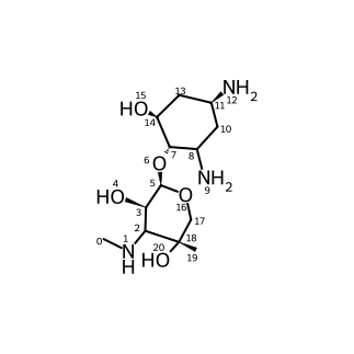 CNC1[C@@H](O)[C@@H](O[C@H]2C(N)C[C@H](N)C[C@@H]2O)OC[C@]1(C)O